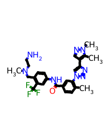 Cc1ccc(C(=O)Nc2ccc(CN(C)CCN)c(C(F)(F)F)c2)cc1-n1cc(-c2cnn(C)c2C)nn1